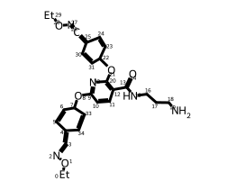 CCON=C=C1C=CC(Oc2ccc(C(=O)NCCCN)c(OC3C=CC(=C=NOCC)C=C3)n2)C=C1